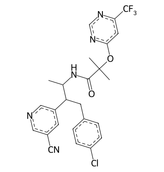 CC(NC(=O)C(C)(C)Oc1cc(C(F)(F)F)ncn1)C(Cc1ccc(Cl)cc1)c1cncc(C#N)c1